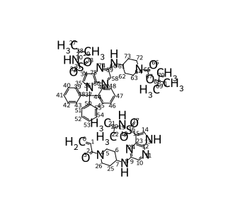 C=CC(=O)N1CCC(Nc2cnc3[nH]cc(S(=O)(=O)NC(C)C)c3n2)CC1.CC(C)NS(=O)(=O)c1cn(C(c2ccccc2)(c2ccccc2)c2ccccc2)c2ncc(NC3CCN(C(=O)OC(C)(C)C)CC3)nc12